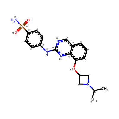 CC(C)N1CC(Oc2cccc3cnc(Nc4ccc(S(N)(=O)=O)cc4)nc23)C1